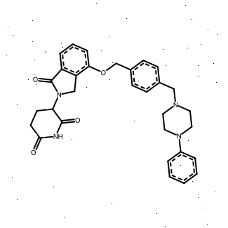 O=C1CCC(N2Cc3c(OCc4ccc(CN5CCN(c6ccccc6)CC5)cc4)cccc3C2=O)C(=O)N1